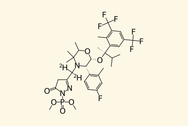 [2H]C([2H])(C1=NN(P(=O)(OC)OC)C(=O)C1)N1[C@@H](c2ccc(F)cc2C)[C@@H](O[C@@](C)(c2cc(C(F)(F)F)cc(C(F)(F)F)c2C)C(C)C)OC(C)C1(C)C